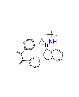 C=C(C(=C)c1ccccc1)c1ccccc1.CC(C)(C)[NH][Ti]1([CH]2CCC3C=CC=CC32)[CH2][CH2]1